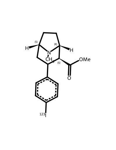 COC(=O)[C@H]1C(c2ccc([123I])cc2)C[C@@H]2CC[C@H]1N2C